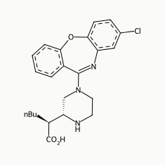 CCCC[C@H](C(=O)O)[C@@H]1CN(C2=Nc3cc(Cl)ccc3Oc3ccccc32)CCN1